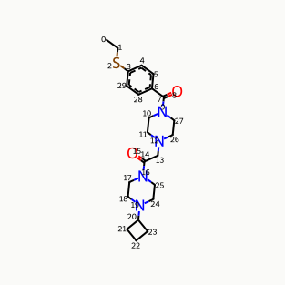 CCSc1ccc(C(=O)N2CCN(CC(=O)N3CCN(C4CCC4)CC3)CC2)cc1